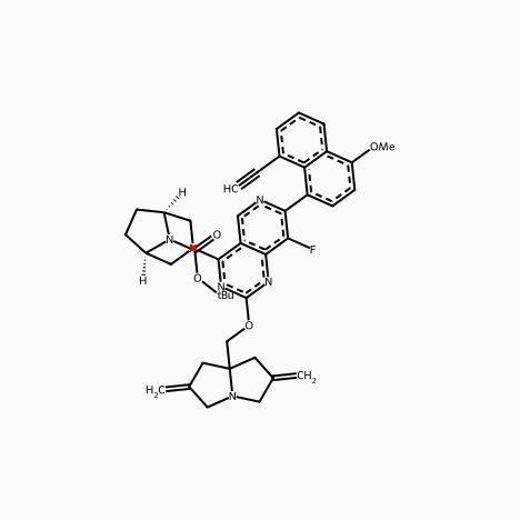 C#Cc1cccc2c(OC)ccc(-c3ncc4c(N5C[C@H]6CC[C@@H](C5)N6C(=O)OC(C)(C)C)nc(OCC56CC(=C)CN5CC(=C)C6)nc4c3F)c12